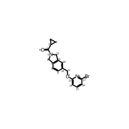 O=C(C1CC1)N1Cc2ccc(COc3cccc(Br)n3)cc2C1